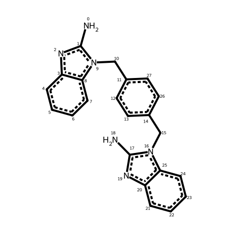 Nc1nc2ccccc2n1Cc1ccc(Cn2c(N)nc3ccccc32)cc1